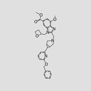 COC(=O)c1cc(OC)c2nc(CN3CC4C(C3)C4c3cccc(OCc4ccccc4)n3)n(CC3CCO3)c2c1